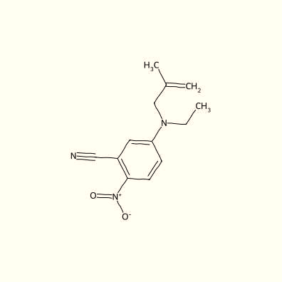 C=C(C)CN(CC)c1ccc([N+](=O)[O-])c(C#N)c1